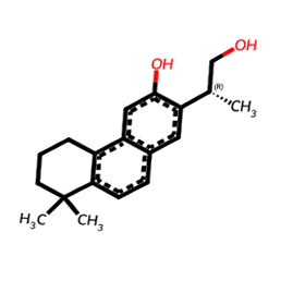 C[C@@H](CO)c1cc2ccc3c(c2cc1O)CCCC3(C)C